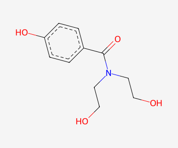 O=C(c1ccc(O)cc1)N(CCO)CCO